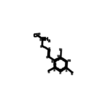 Cc1cc(C)c(C=CC[SiH2]Cl)c(C)c1